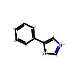 c1ccc(-c2cnc[se]2)cc1